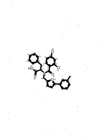 Cc1cccc(-c2ccc(CN(C(=O)c3ccc(Cl)cc3Cl)C(Cc3ccccc3)C(=O)O)o2)c1